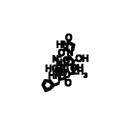 CCOC(=O)[C@H](Cc1ccccc1)NP(=O)(O)OC[C@@]1(N=[N+]=[N-])O[C@@H](n2ccc(=O)[nH]c2=O)[C@H](O)[C@@H]1O